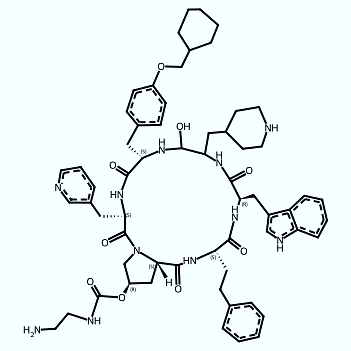 NCCNC(=O)O[C@@H]1C[C@H]2C(=O)N[C@@H](CCc3ccccc3)C(=O)N[C@H](Cc3c[nH]c4ccccc34)C(=O)NC(CC3CCNCC3)C(O)N[C@@H](Cc3ccc(OCC4CCCCC4)cc3)C(=O)N[C@@H](Cc3cccnc3)C(=O)N2C1